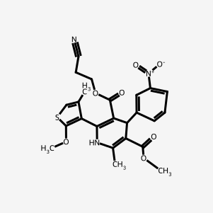 COC(=O)C1=C(C)NC(c2c(C)csc2OC)=C(C(=O)OCCC#N)C1c1cccc([N+](=O)[O-])c1